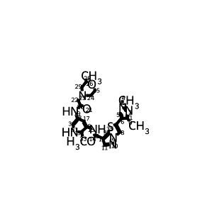 Cc1nn(C)cc1-c1cn2ncc(C(=O)NC3=CC(NC(=O)CN4CCOC(C)C4)=CNC3C)c2s1